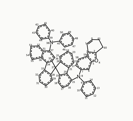 C1=Cc2c(oc3cc(N(c4ccccc4)c4cccc5c4-c4ccccc4C54c5ccccc5-c5c4cc(N(c4ccccc4)c4ccccc4)c4ccccc54)ccc23)CC1